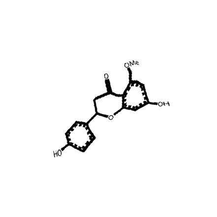 COc1cc(O)cc2c1C(=O)CC(c1ccc(O)cc1)O2